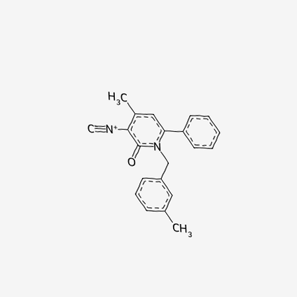 [C-]#[N+]c1c(C)cc(-c2ccccc2)n(Cc2cccc(C)c2)c1=O